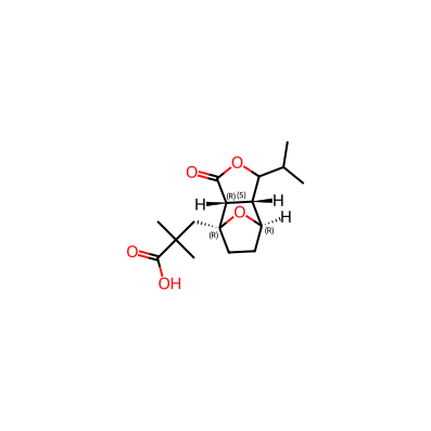 CC(C)C1OC(=O)[C@@H]2[C@H]1[C@H]1CC[C@]2(CC(C)(C)C(=O)O)O1